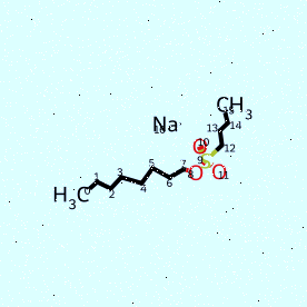 CCCCCCCCOS(=O)(=O)CCCC.[Na]